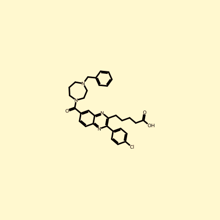 O=C(O)CCCCc1nc2cc(C(=O)N3CCCN(Cc4ccccc4)CC3)ccc2nc1-c1ccc(Cl)cc1